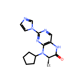 CC[C@@H]1C(=O)Nc2cnc(-n3ccnc3)nc2N1C1CCCC1